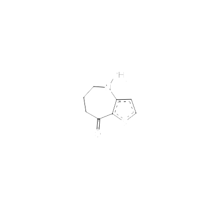 O=C1CCCN(P)c2ccsc21